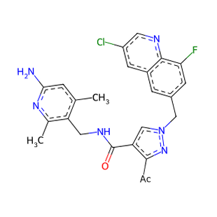 CC(=O)c1nn(Cc2cc(F)c3ncc(Cl)cc3c2)cc1C(=O)NCc1c(C)cc(N)nc1C